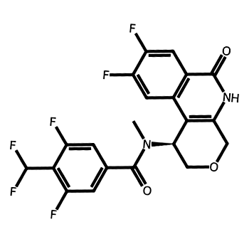 CN(C(=O)c1cc(F)c(C(F)F)c(F)c1)[C@@H]1COCc2[nH]c(=O)c3cc(F)c(F)cc3c21